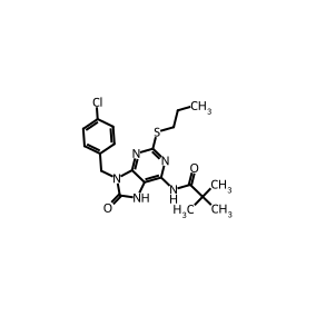 CCCSc1nc(NC(=O)C(C)(C)C)c2[nH]c(=O)n(Cc3ccc(Cl)cc3)c2n1